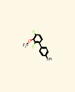 CCCc1ccc(-c2ccc(F)c(OC(F)(F)F)c2F)cc1